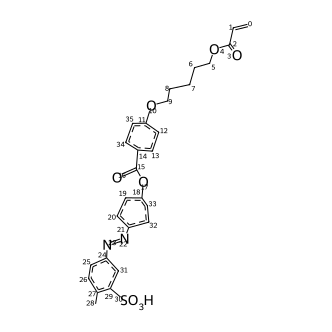 C=CC(=O)OCCCCCOc1ccc(C(=O)Oc2ccc(N=Nc3ccc(C)c(S(=O)(=O)O)c3)cc2)cc1